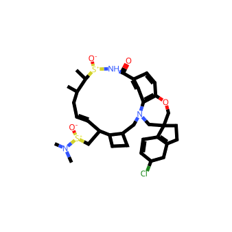 CC1C/C=C/C(C[S+]([O-])N(C)C)C2CCC2CN2CC3(CCC4=C3C=CC(Cl)C4)COc3ccc(cc32)C(=O)N[S+]([O-])C1C